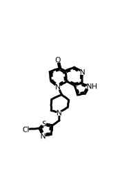 O=c1ccn(C2CCN(Cc3cnc(Cl)s3)CC2)c2c1cnc1[nH]ccc12